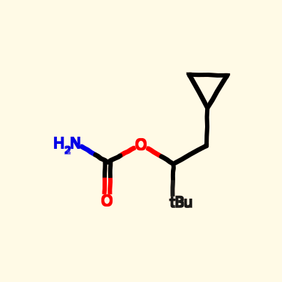 CC(C)(C)C(CC1CC1)OC(N)=O